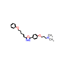 CN(C)CCCOc1ccc(-c2nnc(C=CCCCOc3ccccc3)o2)cc1